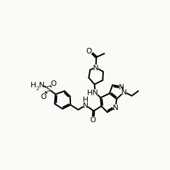 CCn1ncc2c(NC3CCN(C(C)=O)CC3)c(C(=O)NCc3ccc(S(N)(=O)=O)cc3)cnc21